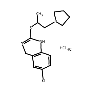 CC(CN1CCCC1)SC1=NCc2cc(Cl)ccc2N1.Cl.Cl